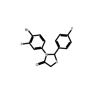 O=C1CSC(c2ccc(F)cc2)N1c1ccc(Br)c(F)c1